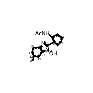 CC(=O)Nc1ccccc1-c1nc2ccc(C)cc2n1O